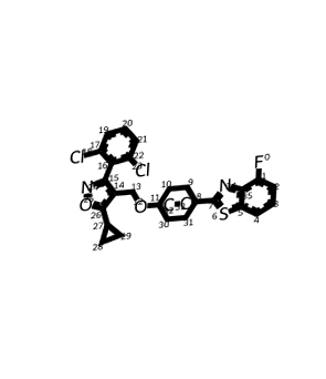 Fc1cccc2sc(C34CCC(OCc5c(-c6c(Cl)cccc6Cl)noc5C5CC5)(CC3)CC4)nc12